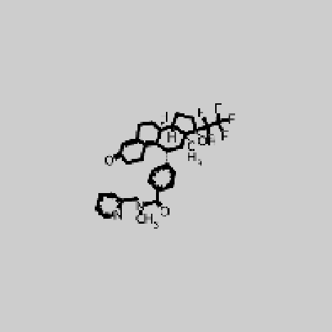 CN(Cc1ccccn1)C(=O)c1ccc([C@H]2C[C@@]3(C)[C@@H](CC[C@@]3(O)C(F)(F)C(F)(F)F)[C@@H]3CCC4=CC(=O)CCC4=C32)cc1